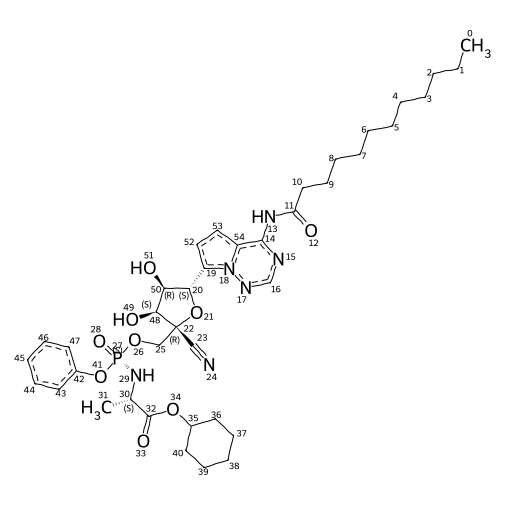 CCCCCCCCCCCC(=O)Nc1ncnn2c([C@@H]3O[C@](C#N)(CO[P@@](=O)(N[C@@H](C)C(=O)OC4CCCCC4)Oc4ccccc4)[C@@H](O)[C@H]3O)ccc12